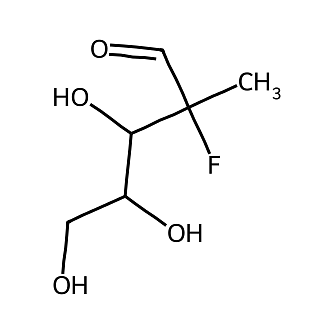 CC(F)(C=O)C(O)C(O)CO